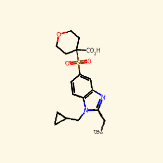 CC(C)(C)Cc1nc2cc(S(=O)(=O)C3(C(=O)O)CCOCC3)ccc2n1CC1CC1